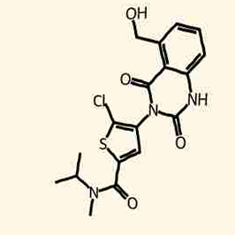 CC(C)N(C)C(=O)c1cc(-n2c(=O)[nH]c3cccc(CO)c3c2=O)c(Cl)s1